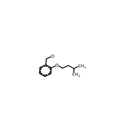 CC(C)CCOc1ccccc1CCl